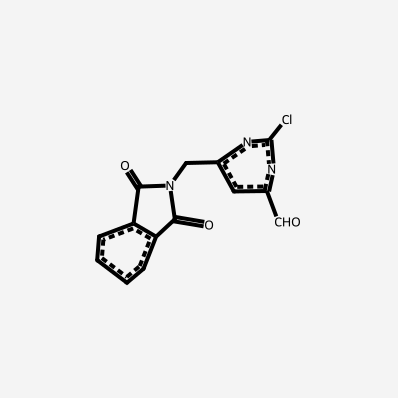 O=Cc1cc(CN2C(=O)c3ccccc3C2=O)nc(Cl)n1